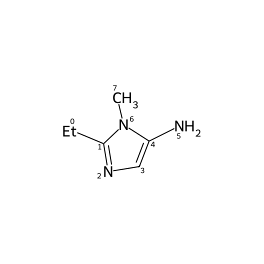 CCc1ncc(N)n1C